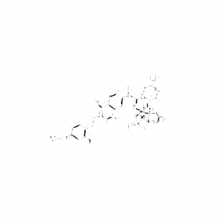 COc1ccc(CCn2cnc3cc(NC(=N[C@H]4C[C@H]5C[C@@H]([C@@H]4CO)C5(C)C)N4CCN[C@@H](C)C4)ccc3c2=O)c(F)c1